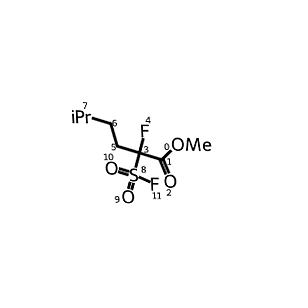 COC(=O)C(F)(CCC(C)C)S(=O)(=O)F